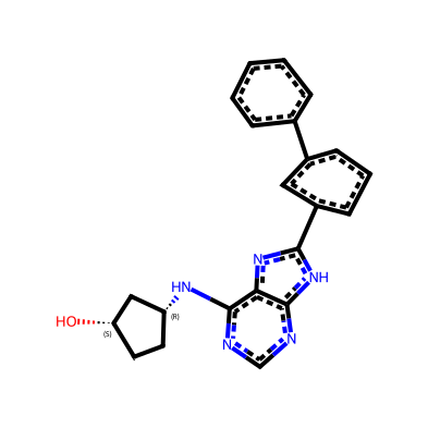 O[C@H]1[CH]C[C@@H](Nc2ncnc3[nH]c(-c4cccc(-c5ccccc5)c4)nc23)C1